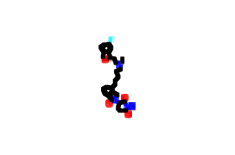 CCN(CCCCCc1cccc2c1CN(C1CCC(=O)NC1=O)C2=O)CC[C@H]1OCc2ccc(F)cc21